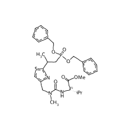 COC(=O)[C@@H](NC(=O)N(C)Cc1csc(C(C)CP(=O)(OCc2ccccc2)OCc2ccccc2)n1)C(C)C